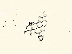 COC(=O)C1CCCC(C2=C(C(=O)O)C(c3cccc(F)c3Cl)N=C(c3nccs3)N2)C1